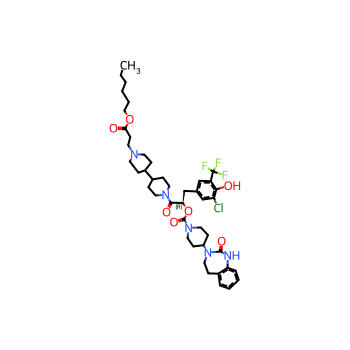 CCCCCCOC(=O)CCN1CCC(C2CCN(C(=O)[C@@H](Cc3cc(Cl)c(O)c(C(F)(F)F)c3)OC(=O)N3CCC(N4CCc5ccccc5NC4=O)CC3)CC2)CC1